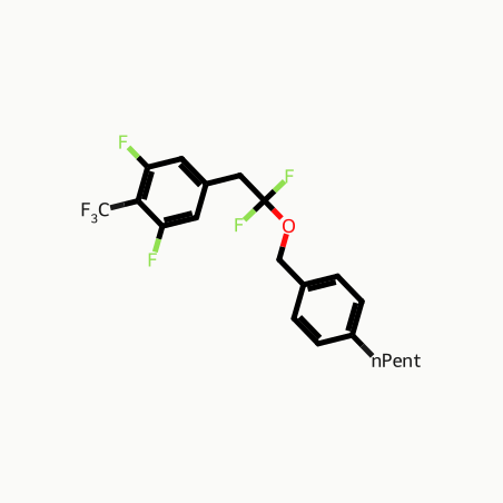 CCCCCc1ccc(COC(F)(F)Cc2cc(F)c(C(F)(F)F)c(F)c2)cc1